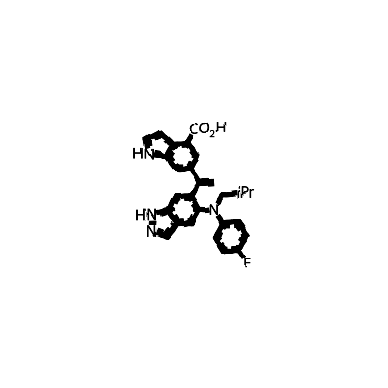 C=C(c1cc(C(=O)O)c2cc[nH]c2c1)c1cc2[nH]ncc2cc1N(CC(C)C)c1ccc(F)cc1